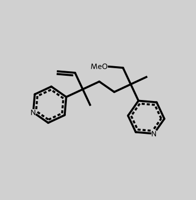 C=CC(C)(CCC(C)(COC)c1ccncc1)c1ccncc1